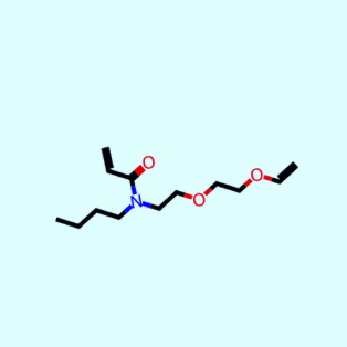 C=COCCOCCN(CCCC)C(=O)C=C